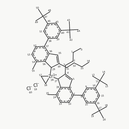 CCCCC1=Cc2c(-c3cc(C(C)(C)C)cc(C(C)(C)C)c3)ccc(C)c2[CH]1[Zr+2]1([CH]2C(CCCC)=Cc3c(-c4cc(C(C)(C)C)cc(C(C)(C)C)c4)ccc(C)c32)[CH2][CH2]1.[Cl-].[Cl-]